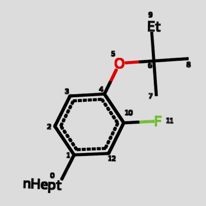 CCCCCCCc1ccc(OC(C)(C)CC)c(F)c1